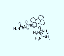 NC(N)=O.NC(N)=O.NC(N)=O.NC(N)=O.c1cc2cccc3c4cccc5cccc(c(c1)c23)c54